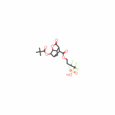 CC(C)(C)C(=O)OC1C2CC3C1OC(=O)C3C2C(=O)OCCC(F)(F)C(F)(F)S(=O)(=O)O